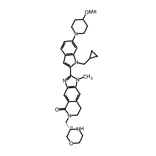 COC1CCN(c2ccc3cc(-c4nc5cc6c(cc5n4C)CCN(C[C@H]4COCCN4)C6=O)n(CC4CC4)c3c2)CC1